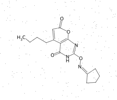 CCCCc1cc(=O)oc2nc(ON=C3CCCC3)[nH]c(=O)c12